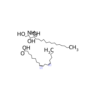 CCCCC/C=C\C/C=C\CCCCCCCC(=O)O.CCCCCCCCCCCCCCC(O)C(O)C(N)CO